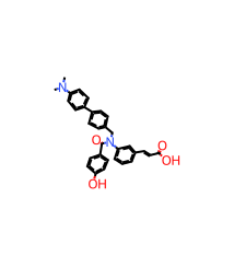 CN(C)c1ccc(-c2ccc(CN(C(=O)c3ccc(O)cc3)c3cccc(C=CC(=O)O)c3)cc2)cc1